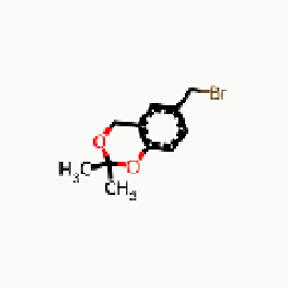 CC1(C)OCc2cc(CBr)ccc2O1